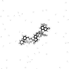 CC(C)(C)[Si](C)(C)O[C@@H](CNCc1ccc2c(ccc(=O)n2CCCCc2cccc(C3(C(=O)O)CCCCC3)c2)c1)c1ccc(O)c2[nH]c(=O)ccc12